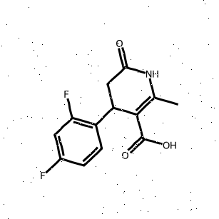 CC1=C(C(=O)O)C(c2ccc(F)cc2F)CC(=O)N1